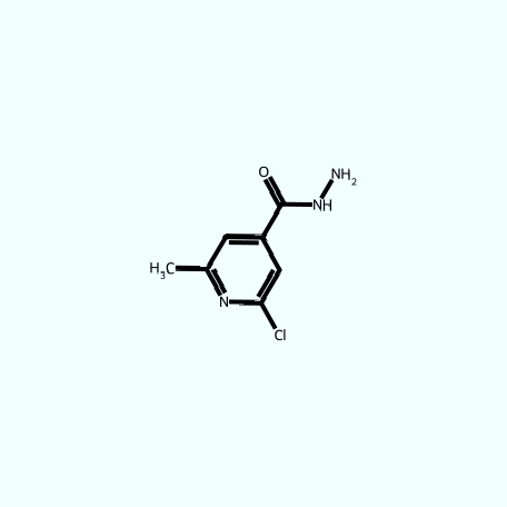 Cc1cc(C(=O)NN)cc(Cl)n1